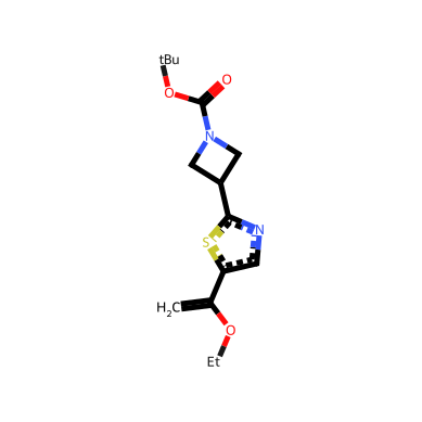 C=C(OCC)c1cnc(C2CN(C(=O)OC(C)(C)C)C2)s1